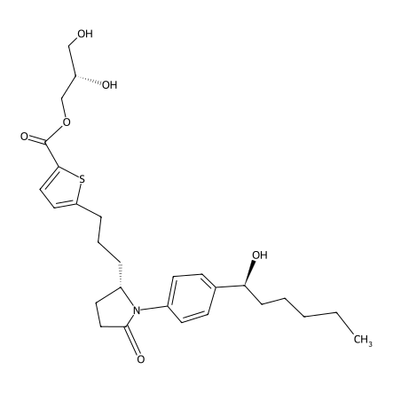 CCCCC[C@H](O)c1ccc(N2C(=O)CC[C@@H]2CCCc2ccc(C(=O)OC[C@@H](O)CO)s2)cc1